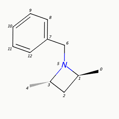 C[C@H]1C[C@H](C)N1Cc1ccccc1